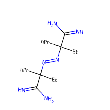 CCCC(CC)(/N=N/C(CC)(CCC)C(=N)N)C(=N)N